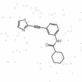 O=C(Nc1cccc(C#Cc2nccs2)c1)C1CCCCC1